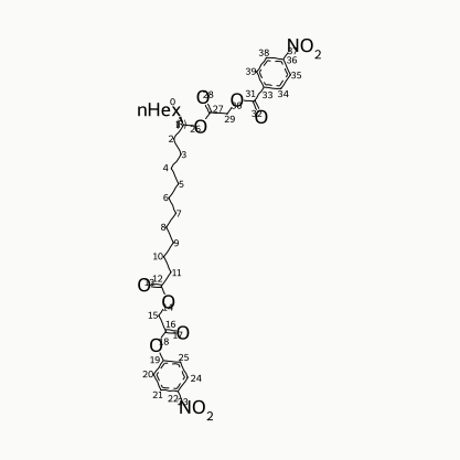 CCCCCC[C@H](CCCCCCCCCCC(=O)OCC(=O)Oc1ccc([N+](=O)[O-])cc1)OC(=O)COC(=O)c1ccc([N+](=O)[O-])cc1